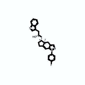 C[C@]12Cc3cnn(-c4ccc(F)cc4)c3C=C1CC[C@@H]2C[C@H](O)Cc1csc2ccccc12